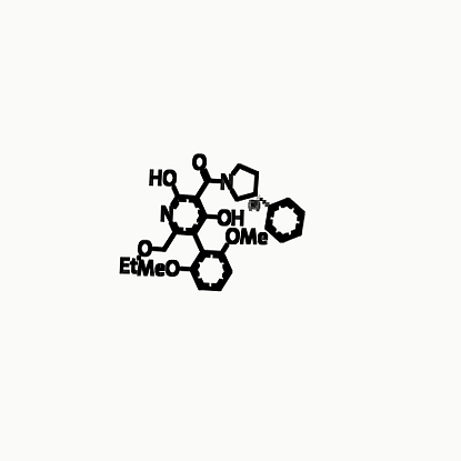 CCOCc1nc(O)c(C(=O)N2CC[C@H](c3ccccc3)C2)c(O)c1-c1c(OC)cccc1OC